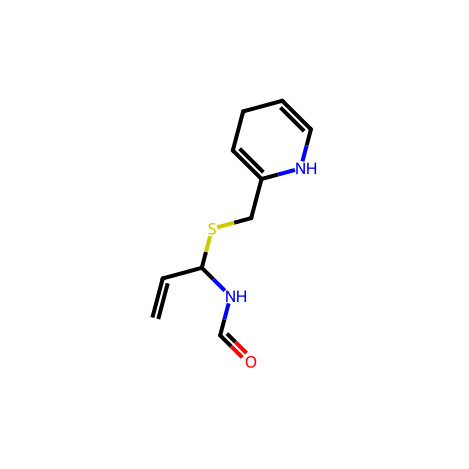 C=CC(NC=O)SCC1=CCC=CN1